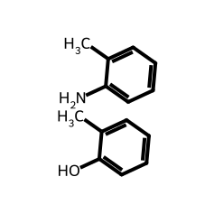 Cc1ccccc1N.Cc1ccccc1O